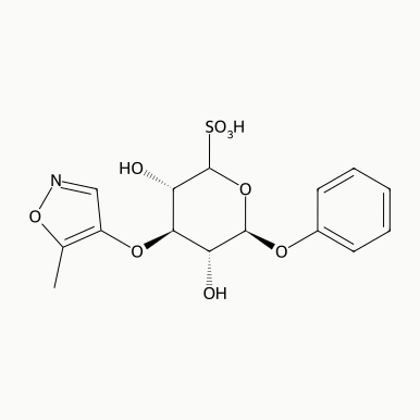 Cc1oncc1O[C@@H]1[C@@H](O)[C@H](Oc2ccccc2)OC(S(=O)(=O)O)[C@H]1O